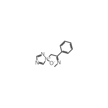 CN=C(C[N+]1([O-])C=NC=N1)c1ccccc1